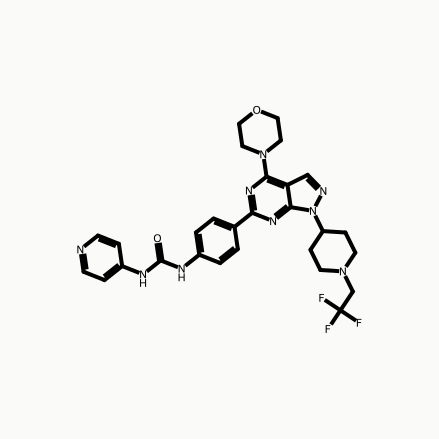 O=C(Nc1ccncc1)Nc1ccc(-c2nc(N3CCOCC3)c3cnn(C4CCN(CC(F)(F)F)CC4)c3n2)cc1